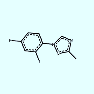 Cc1ncn(-c2ccc(F)cc2I)n1